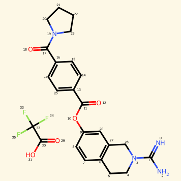 N=C(N)N1CCc2ccc(OC(=O)c3ccc(C(=O)N4CCCC4)cc3)cc2C1.O=C(O)C(F)(F)F